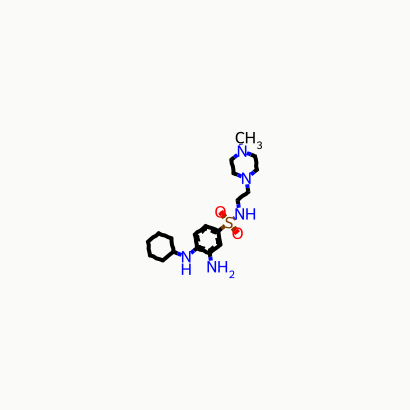 CN1CCN(CCNS(=O)(=O)c2ccc(NC3CCCCC3)c(N)c2)CC1